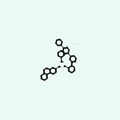 COc1cc(-c2ccc3oc4cccc(-c5nc(-c6ccccc6)nc(-c6ccc7c(ccc8ccccc87)c6)n5)c4c3c2)ccc1-c1ccccc1